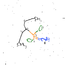 CCC(CC)P(=N)(Cl)Cl